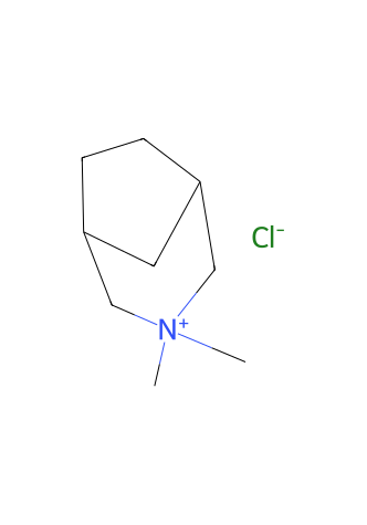 C[N+]1(C)CC2CCC(C2)C1.[Cl-]